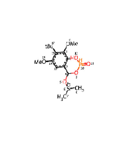 COc1cc(C(O[SiH](C)C)O[PH](=O)O)cc(OC)c1C(C)(C)C